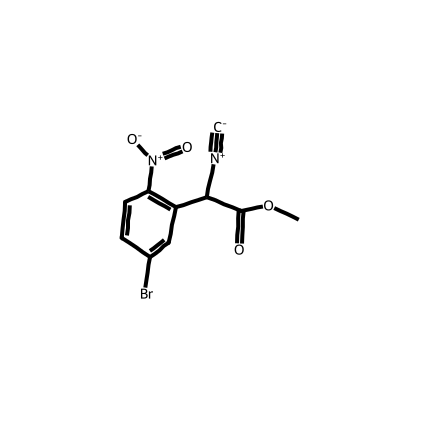 [C-]#[N+]C(C(=O)OC)c1cc(Br)ccc1[N+](=O)[O-]